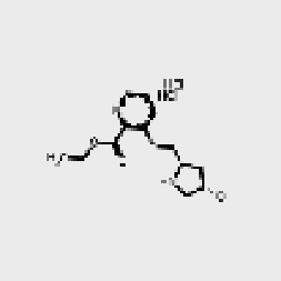 CCOC(=O)c1ncccc1OC[C@H]1C[C@H](O)CN1.Cl.Cl